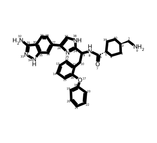 NC[C@H]1CC[C@H](C(=O)NC(Cc2ccccc2Oc2ccccc2)c2nc(-c3ccc4c(N)n[nH]c4c3)c[nH]2)CC1